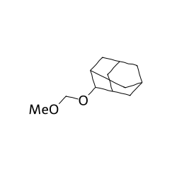 COCOC1C2CC3CC(C2)CC1C3